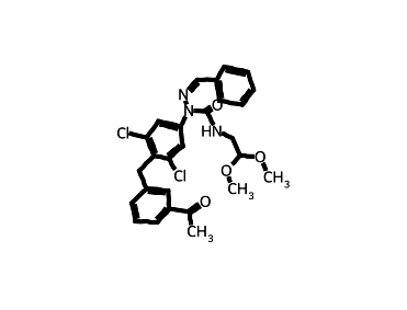 COC(CNC(=O)N(/N=C\c1ccccc1)c1cc(Cl)c(Cc2cccc(C(C)=O)c2)c(Cl)c1)OC